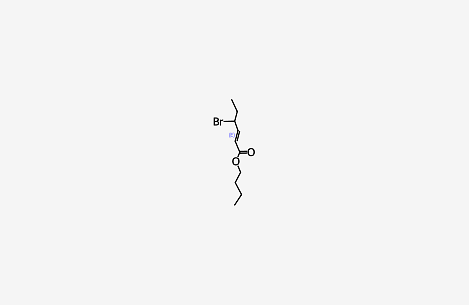 CCCCOC(=O)/C=C/C(Br)CC